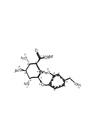 COC(=O)[C@H]1O[C@@H](Oc2ccc(CO)cc2OC)[C@H](OC(C)=O)[C@@H](OC(C)=O)[C@@H]1OC(C)=O